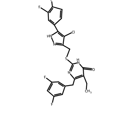 CCc1c(Cc2cc(F)cc(F)c2)nc(SCc2n[nH]c(-c3ccc(F)c(F)c3)c2Cl)[nH]c1=O